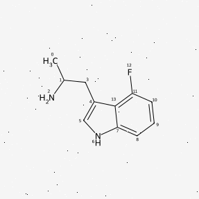 CC(N)Cc1c[nH]c2cccc(F)c12